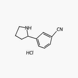 Cl.N#Cc1cccc(C2CCCN2)c1